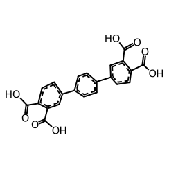 O=C(O)c1ccc(-c2ccc(-c3ccc(C(=O)O)c(C(=O)O)c3)cc2)cc1C(=O)O